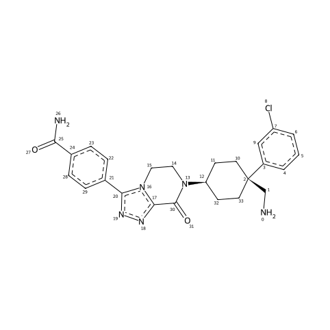 NC[C@]1(c2cccc(Cl)c2)CC[C@H](N2CCn3c(nnc3-c3ccc(C(N)=O)cc3)C2=O)CC1